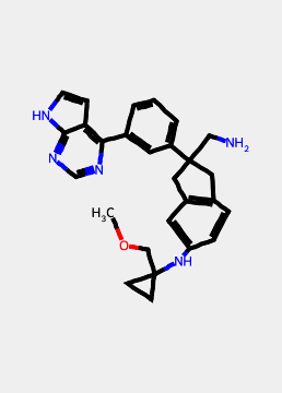 COCC1(Nc2ccc3c(c2)CC(CN)(c2cccc(-c4ncnc5[nH]ccc45)c2)C3)CC1